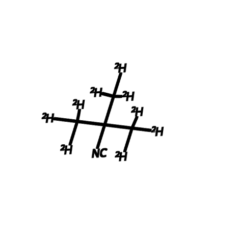 [2H]C([2H])([2H])C([N+]#[C-])(C([2H])([2H])[2H])C([2H])([2H])[2H]